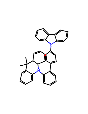 CC1(C)c2ccccc2N(c2ccccc2-c2ccc(-n3c4ccccc4c4ccccc43)cc2)C2C=CC=CC21